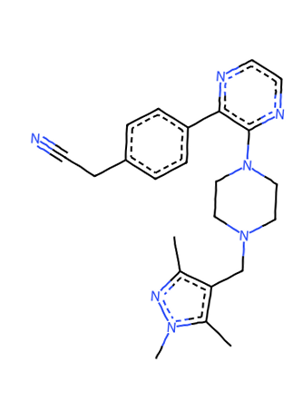 Cc1nn(C)c(C)c1CN1CCN(c2nccnc2-c2ccc(CC#N)cc2)CC1